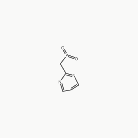 O=P(=O)Cc1ncccn1